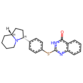 O=c1[nH]c(Sc2ccc([C@H]3CC[C@H]4CCCCN43)cc2)nc2ccccc12